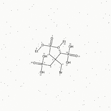 CCOP(=O)(CC(CBr)(CP(=O)(O)O)CP(=O)(O)O)OCC